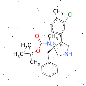 Cc1ccc([C@H]2CNC[C@]2(Cc2ccccc2)N(C)C(=O)OC(C)(C)C)cc1Cl